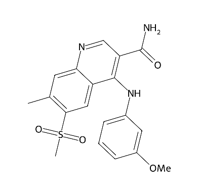 COc1cccc(Nc2c(C(N)=O)cnc3cc(C)c(S(C)(=O)=O)cc23)c1